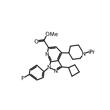 COC(=O)c1cc(C2CCN(C(C)C)CC2)c2c(C3CCC3)nn(-c3ccc(F)cc3)c2n1